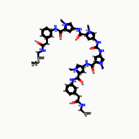 Cn1cc(NC(=O)Nc2cc(C(=O)Nc3cc(C(=O)Nc4cccc(CC(=O)NCC(=O)[O-])c4)n(C)c3)n(C)c2)cc1C(=O)Nc1cc(C(=O)Nc2cccc(CC(=O)NCC(=O)[O-])c2)n(C)c1.[Na+].[Na+]